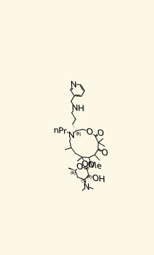 CCCN1CC(C)CC(C)(OC)C(O[C@@H]2O[C@H](C)C[C@H](N(C)C)[C@H]2O)C(C)C(=O)C(C)(C)C(=O)OC[C@H]1CCCNCc1cccnc1